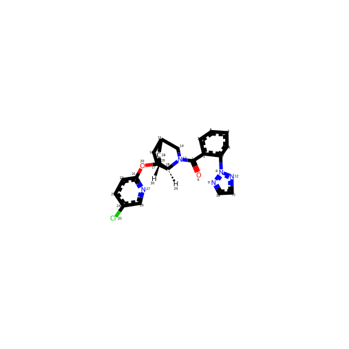 O=C(c1ccccc1-n1nccn1)N1CC2CC[C@H]1[C@H](Oc1ccc(Cl)cn1)C2